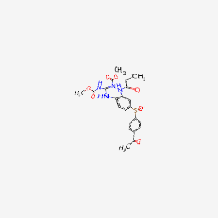 CCC(=O)Nc1cc([S+]([O-])c2ccc(C(C)=O)cc2)ccc1NC(=NC(=O)OC)NC(=O)OC